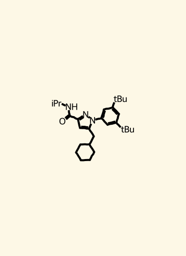 CC(C)NC(=O)c1cc(CC2CCCCC2)n(-c2cc(C(C)(C)C)cc(C(C)(C)C)c2)n1